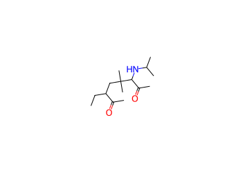 CCC(CC(C)(C)C(NC(C)C)C(C)=O)C(C)=O